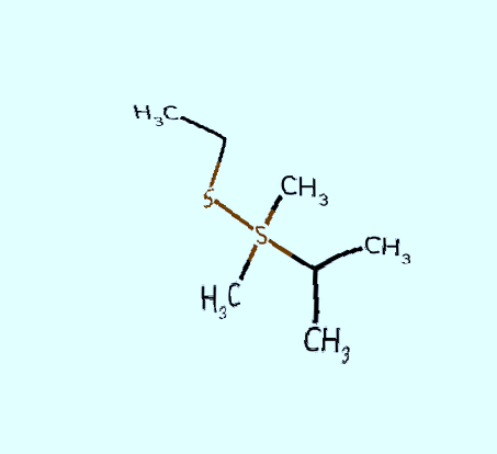 CCSS(C)(C)C(C)C